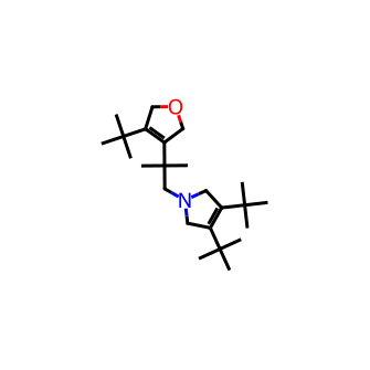 CC(C)(C)C1=C(C(C)(C)C)CN(CC(C)(C)C2=C(C(C)(C)C)COC2)C1